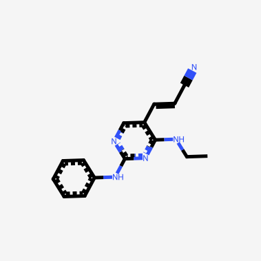 CCNc1nc(Nc2ccccc2)ncc1/C=C/C#N